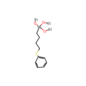 CCO[Si](CCCCSc1ccccc1)(OCC)OCC